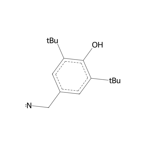 CC(C)(C)c1cc(C[N])cc(C(C)(C)C)c1O